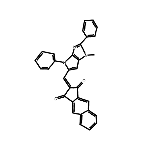 Cn1c(-c2ccccc2)nc2c1cc(C=C1C(=O)c3cc4ccccc4cc3C1=O)n2-c1ccccc1